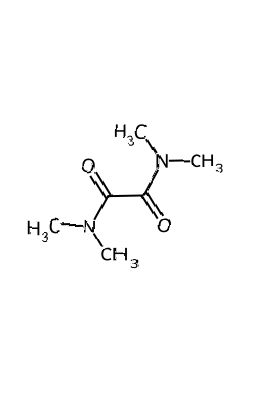 CN(C)C(=O)C(=O)N(C)C